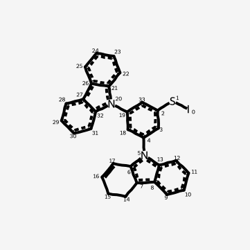 ISc1cc(-n2c3c(c4ccccc42)CCC=C3)cc(-n2c3ccccc3c3ccccc32)c1